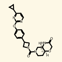 O=C1CO[C@H]2CCN(C(=O)N3CC(c4ccc(Oc5nccc(C6CC6)n5)cc4)C3)C[C@H]2N1